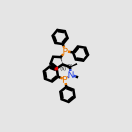 C[C@H]([C@@H]1C=CCC1P(c1ccccc1)c1ccccc1)N(C)P(c1ccccc1)c1ccccc1